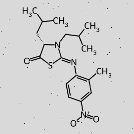 Cc1cc([N+](=O)[O-])ccc1/N=C1\SC(=O)[C@H](CC(C)C)N1CC(C)C